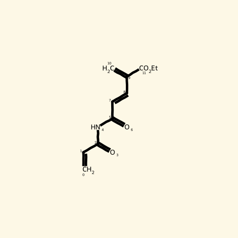 C=CC(=O)NC(=O)C=CC(=C)C(=O)OCC